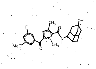 COc1cc(F)cc(C(=O)c2cc(C)c(C(=O)NC3C4CC5CC3CC(O)(C5)C4)n2C)c1